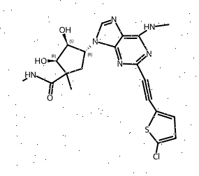 CNC(=O)C1(C)C[C@@H](n2cnc3c(NC)nc(C#Cc4ccc(Cl)s4)nc32)[C@H](O)[C@@H]1O